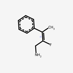 C/C(=C(\F)CN)c1ccccc1